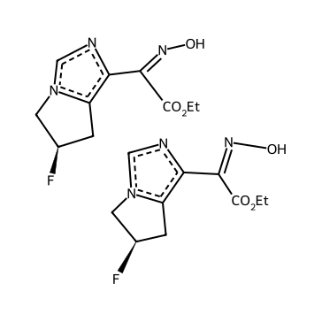 CCOC(=O)C(=NO)c1ncn2c1C[C@@H](F)C2.CCOC(=O)C(=NO)c1ncn2c1C[C@@H](F)C2